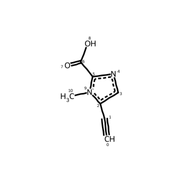 C#Cc1cnc(C(=O)O)n1C